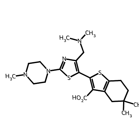 CN(C)Cc1nc(N2CCN(C)CC2)sc1-c1sc2c(c1C(=O)O)CC(C)(C)CC2